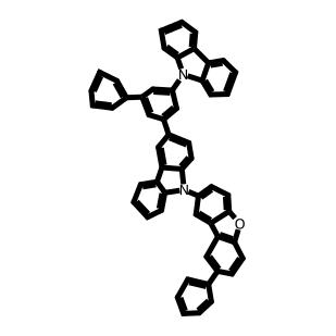 c1ccc(-c2cc(-c3ccc4c(c3)c3ccccc3n4-c3ccc4oc5ccc(-c6ccccc6)cc5c4c3)cc(-n3c4ccccc4c4ccccc43)c2)cc1